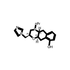 CCCN1C[C@H](Cn2ccnc2)O[C@@H]2Cc3c(O)cccc3C[C@H]21